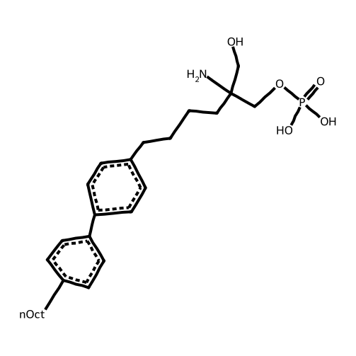 CCCCCCCCc1ccc(-c2ccc(CCCCC(N)(CO)COP(=O)(O)O)cc2)cc1